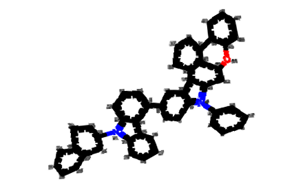 c1ccc(-n2c3ccc(-c4cccc5c4c4ccccc4n5-c4ccc5ccccc5c4)cc3c3c4cccc5c4c(cc32)Oc2ccccc2-5)cc1